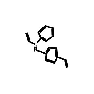 C=Cc1ccc(C[SiH](C=C)c2ccccc2)cc1